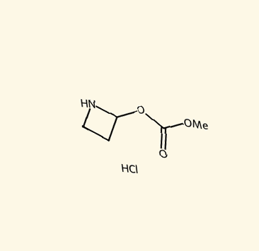 COC(=O)OC1CCN1.Cl